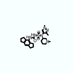 Cc1nn(C)cc1N(C1CCCN(C)C1)S(=O)(=O)NC(=O)Nc1c2c(cc3c1CCC3)CCC2